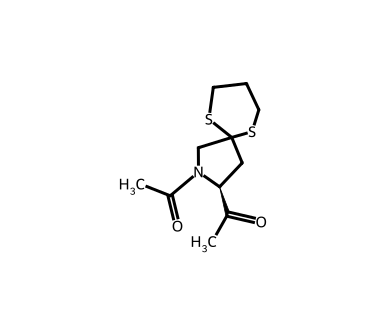 CC(=O)[C@@H]1CC2(CN1C(C)=O)SCCCS2